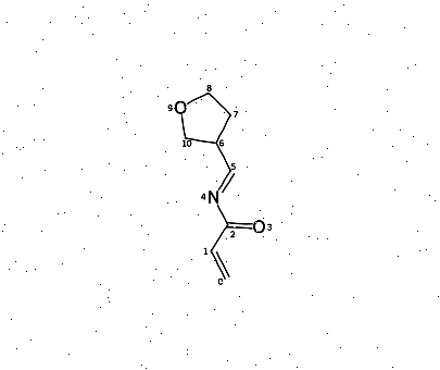 C=CC(=O)/N=C/C1CCOC1